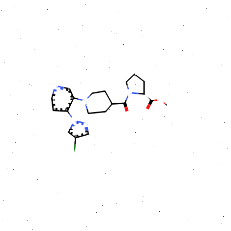 COC(=O)[C@@H]1CCCN1C(=O)C1CCN(c2cnccc2-n2cc(Cl)cn2)CC1